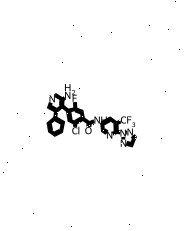 Nc1cncc(-c2ccccc2)c1-c1cc(Cl)c(C(=O)Nc2cnc(-n3nccn3)c(C(F)(F)F)c2)cc1F